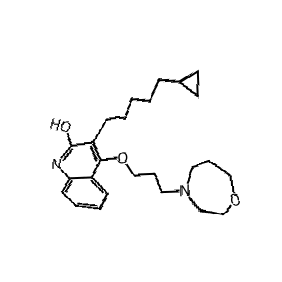 Oc1nc2ccccc2c(OCCCN2CCCOCC2)c1CCCCCC1CC1